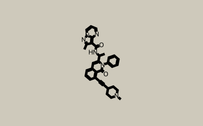 Cc1nn2cccnc2c1C(=O)NC(C)c1cc2cccc(C#CC3CCN(C)CC3)c2c(=O)n1-c1ccccc1